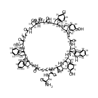 CCCC[C@H]1C(=O)N(C)CC(=O)N[C@@H](CC(=O)O)C(=O)N[C@@H](C(C)C)C(=O)N[C@@H](Cc2cccc(Cl)c2)C(=O)N[C@@H](Cc2ccc(O)cc2)C(=O)N(C)CC(=O)N[C@@H](Cc2c[nH]c3ccccc23)C(=O)N[C@@H](Cc2ccc(O)cc2)C(=O)N[C@@H](CC(C)C)C(=O)N[C@H](C(=O)NCC(N)=O)CSCC(=O)N[C@@H](Cc2ccccc2)C(=O)N(C)[C@@H](Cc2ccccc2)C(=O)N1C